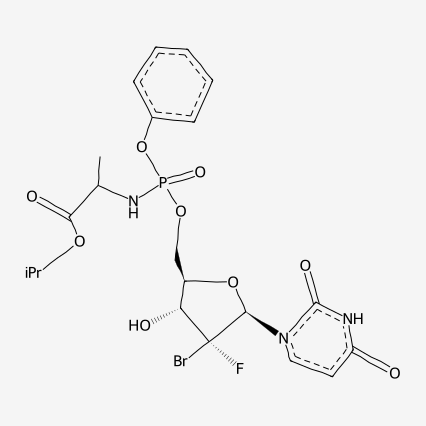 CC(C)OC(=O)C(C)NP(=O)(OC[C@H]1O[C@@H](n2ccc(=O)[nH]c2=O)[C@@](F)(Br)[C@@H]1O)Oc1ccccc1